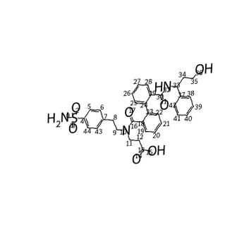 NS(=O)(=O)c1ccc(CCN(CCC(=O)O)C(=O)c2ccccc2-c2ccccc2C(=O)NC(CCO)c2ccccc2)cc1